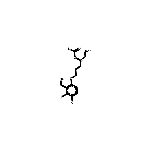 COC[C@@H](CCCOc1ccc(Cl)c(Cl)c1CO)OC(N)=O